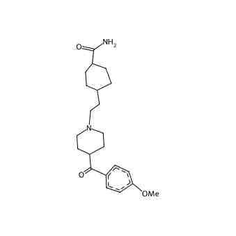 COc1ccc(C(=O)C2CCN(CCC3CCC(C(N)=O)CC3)CC2)cc1